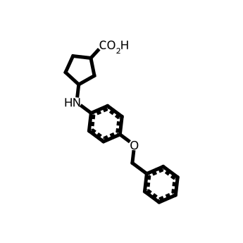 O=C(O)C1CCC(Nc2ccc(OCc3ccccc3)cc2)C1